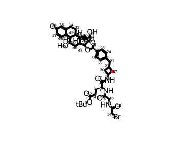 CC(C)(C)OC(=O)CC[C@H](NC(=O)CNC(=O)CBr)C(=O)NC12CC(Cc3ccc([C@@H]4O[C@@H]5C[C@H]6[C@@H]7CCC8=CC(=O)C=C[C@]8(C)[C@H]7[C@@H](O)C[C@]6(C)[C@]5(C(=O)CO)O4)cc3)(C1)C2